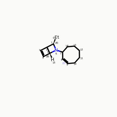 CC[C@@H]1C2C=C[C@H]2N1C1/C=C\CCCCC1